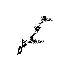 CC1CCC(c2ccc(OCCCP(=O)(OC(C)(C)C)OC(C)(C)CCCOc3ccc(OCCCP(=O)(OC(C)(C)C)OC(C)(C)C)c(F)c3F)c(F)c2F)CC1